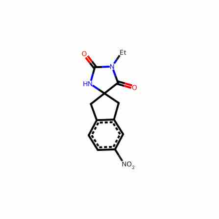 CCN1C(=O)NC2(Cc3ccc([N+](=O)[O-])cc3C2)C1=O